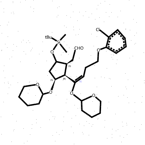 CC(C)(C)[Si](C)(C)OC1C[C@H](OC2CCCCO2)[C@H](/C(=C\CCOc2ccccc2Cl)OC2CCCCO2)[C@@H]1CC=O